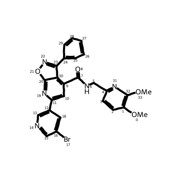 COc1ccc(CNC(=O)c2cc(-c3cncc(Br)c3)nc3onc(-c4ccccc4)c23)nc1OC